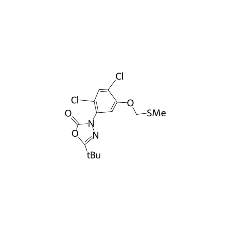 CSCOc1cc(-n2nc(C(C)(C)C)oc2=O)c(Cl)cc1Cl